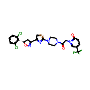 O=C(Cn1cc(C(F)(F)F)ccc1=O)N1CCN(c2nc(C3=NO[C@H](c4c(Cl)cccc4Cl)C3)cs2)CC1